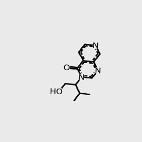 CC(C)C(CO)n1cnc2cnccc2c1=O